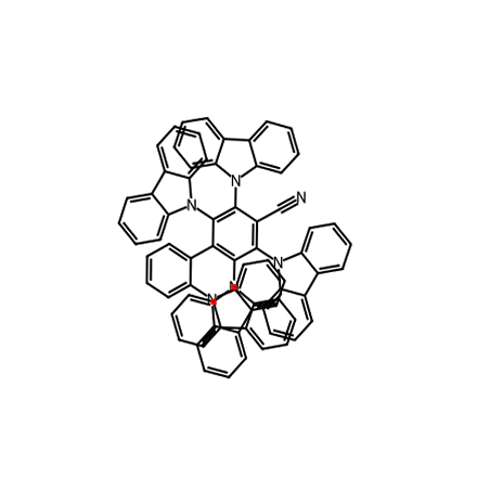 N#Cc1c(-n2c3ccccc3c3ccccc32)c(-n2c3ccccc3c3ccccc32)c(-c2ccccc2-n2c3ccccc3c3ccccc32)c(-n2c3ccccc3c3ccccc32)c1-n1c2ccccc2c2ccccc21